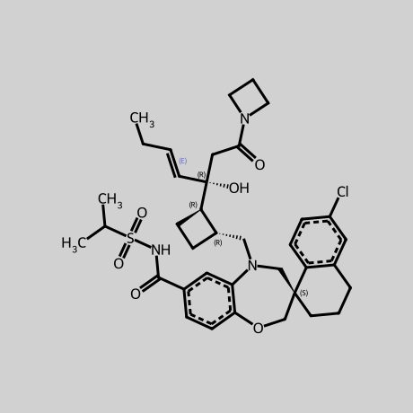 CC/C=C/[C@@](O)(CC(=O)N1CCC1)[C@@H]1CC[C@H]1CN1C[C@@]2(CCCc3cc(Cl)ccc32)COc2ccc(C(=O)NS(=O)(=O)C(C)C)cc21